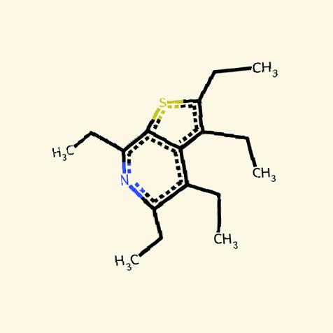 CCc1nc(CC)c2sc(CC)c(CC)c2c1CC